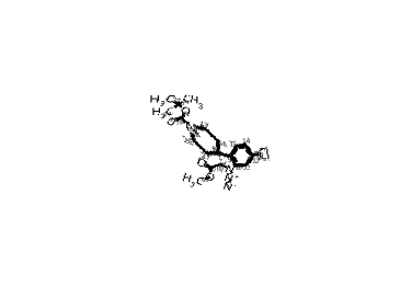 COC(=O)[C@@H](N=[N+]=[N-])C1(c2ccc(Cl)cc2)CCN(C(=O)OC(C)(C)C)CC1